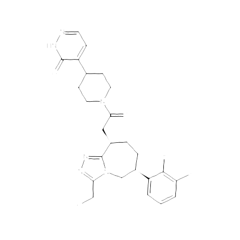 O=C(C[C@H]1CC[C@@H](c2cccc(F)c2F)Cn2c(CC(F)(F)F)nnc21)N1CCC(c2ccn[nH]c2=O)CC1